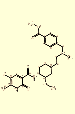 COC(=O)c1ccc(CN(C)CCN2CC[C@@H](NC(=O)c3cc(Cl)c(N)[nH]c3=O)[C@@H](OC)C2)cc1